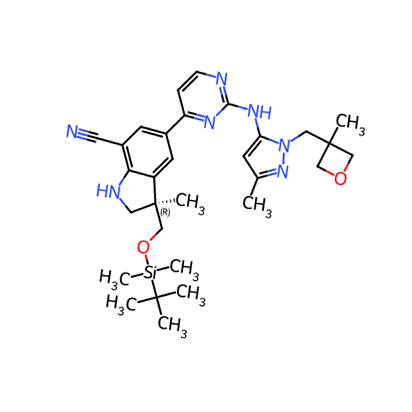 Cc1cc(Nc2nccc(-c3cc(C#N)c4c(c3)[C@@](C)(CO[Si](C)(C)C(C)(C)C)CN4)n2)n(CC2(C)COC2)n1